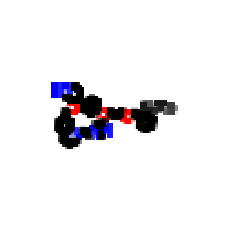 COc1ccccc1COCCCOc1ccc([C@H]2CCNC[C@@H]2OCc2ccc3c(c2)N(CCn2ccnc2)CCC3)cc1